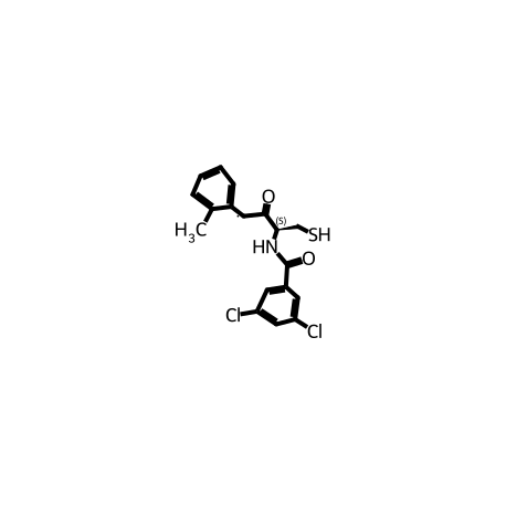 Cc1ccccc1[CH]C(=O)[C@@H](CS)NC(=O)c1cc(Cl)cc(Cl)c1